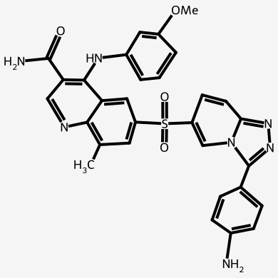 COc1cccc(Nc2c(C(N)=O)cnc3c(C)cc(S(=O)(=O)c4ccc5nnc(-c6ccc(N)cc6)n5c4)cc23)c1